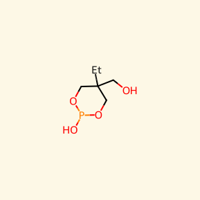 CCC1(CO)COP(O)OC1